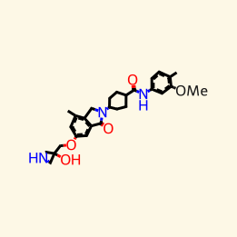 COc1cc(NC(=O)C2CCC(N3Cc4c(C)cc(OCC5(O)CNC5)cc4C3=O)CC2)ccc1C